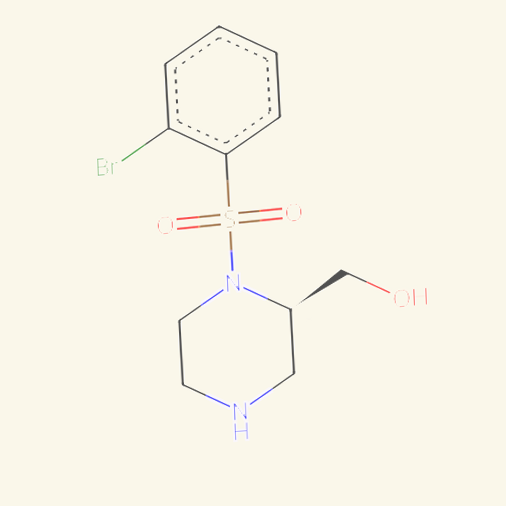 O=S(=O)(c1ccccc1Br)N1CCNC[C@@H]1CO